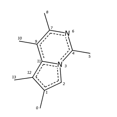 Cc1cn2c(C)nc(C)c(C)c2c1C